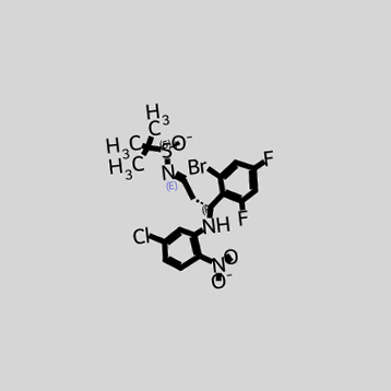 CC(C)(C)[S@@+]([O-])/N=C/C[C@@H](Nc1cc(Cl)ccc1[N+](=O)[O-])c1c(F)cc(F)cc1Br